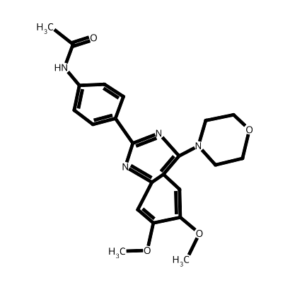 COc1cc2nc(-c3ccc(NC(C)=O)cc3)nc(N3CCOCC3)c2cc1OC